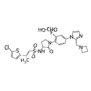 C/C(=C\S(=O)(=O)NC1CCN(c2ccc(-n3ccnc3CN3CCC3)cc2F)C1=O)c1ccc(Cl)s1.O=CO